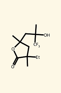 CCC1(C)CC(C)(CC(C)(O)C(F)(F)F)OC1=O